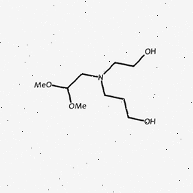 COC(CN(CCO)CCCO)OC